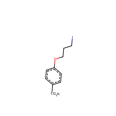 O=C(O)c1ccc(OCCCI)cc1